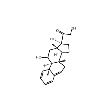 C[C@]12C=CC=CC1=CC[C@@H]1[C@@H]2C(O)C[C@@]2(C)[C@H]1CC[C@]2(O)C(=O)CO